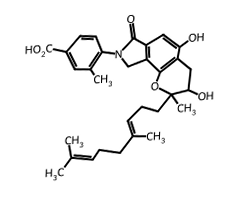 CC(C)=CCC/C(C)=C/CCC1(C)Oc2c(c(O)cc3c2CN(c2ccc(C(=O)O)cc2C)C3=O)CC1O